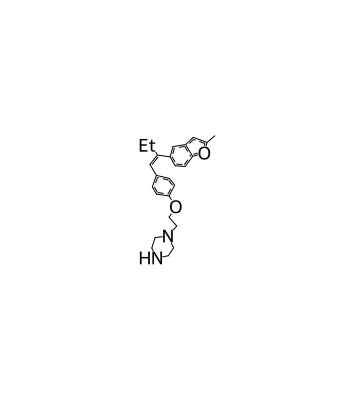 CC/C(=C/c1ccc(OCCN2CCNCC2)cc1)c1ccc2oc(C)cc2c1